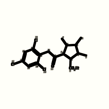 CCOC(=O)C1C(C)C(C)C(C)N1C(=O)Cc1c(Cl)cc(Cl)cc1Cl